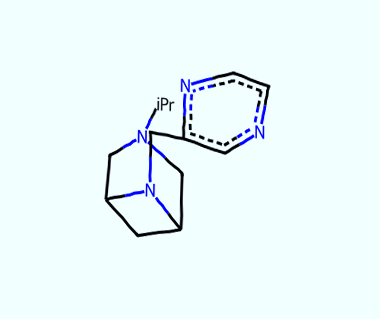 CC(C)N1CC2CC(C1)N2Cc1cnccn1